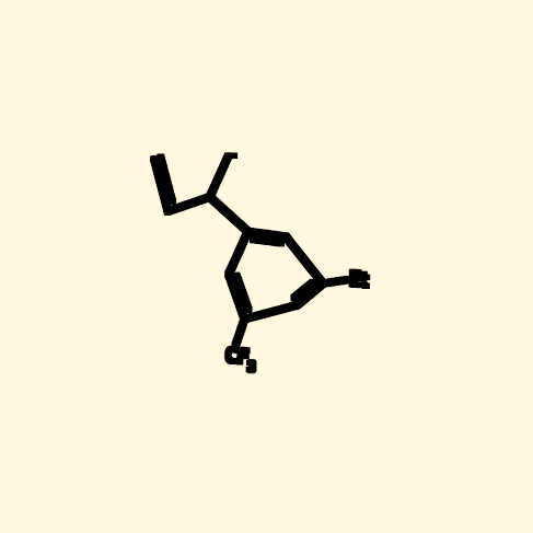 [CH2]C(C=C)c1cc(CC)cc(C(F)(F)F)c1